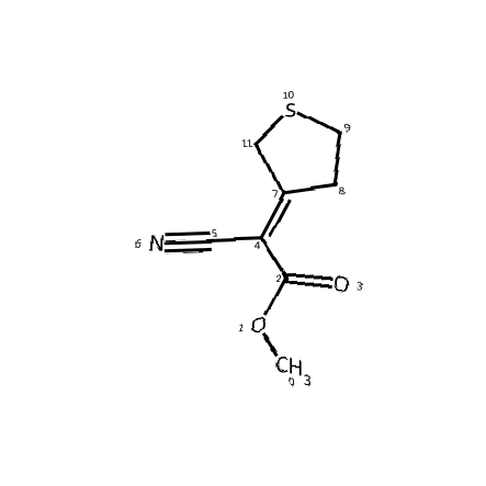 COC(=O)C(C#N)=C1CCSC1